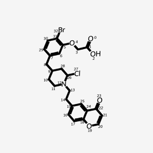 O=C(O)COc1cc(CC2CCN(CCc3ccc4occc(=O)c4c3)C(Cl)C2)ccc1Br